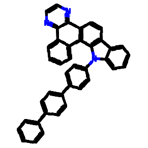 c1ccc(-c2ccc(-c3ccc(-n4c5ccccc5c5ccc6c7nccnc7c7ccccc7c6c54)cc3)cc2)cc1